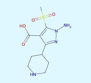 CS(=O)(=O)c1c(C(=O)O)c(C2CCNCC2)nn1N